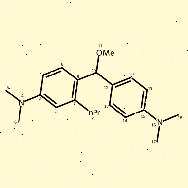 CCCc1cc(N(C)C)ccc1C(OC)c1ccc(N(C)C)cc1